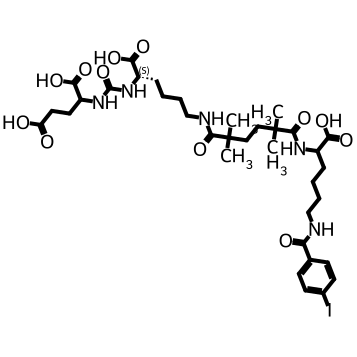 CC(C)(CCC(C)(C)C(=O)NC(CCCCNC(=O)c1ccc(I)cc1)C(=O)O)C(=O)NCCCC[C@H](NC(=O)NC(CCC(=O)O)C(=O)O)C(=O)O